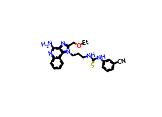 CCOCc1nc2c(N)nc3ccccc3c2n1CCCNC(=S)Nc1cccc(C#N)c1